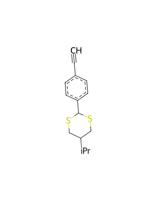 C#Cc1ccc(C2SCC(C(C)C)CS2)cc1